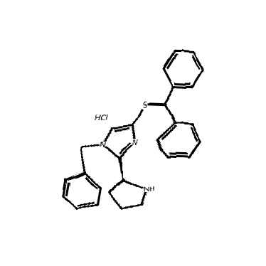 Cl.c1ccc(Cn2cc(SC(c3ccccc3)c3ccccc3)nc2[C@@H]2CCCN2)cc1